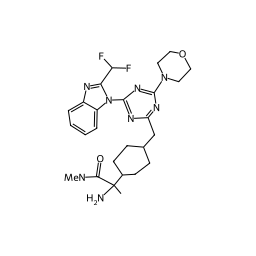 CNC(=O)C(C)(N)C1CCC(Cc2nc(N3CCOCC3)nc(-n3c(C(F)F)nc4ccccc43)n2)CC1